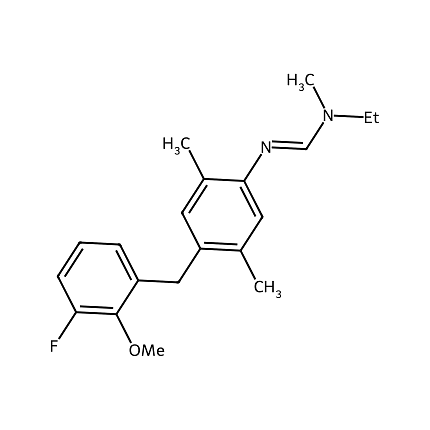 CCN(C)/C=N/c1cc(C)c(Cc2cccc(F)c2OC)cc1C